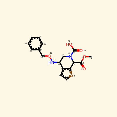 COC(=O)C1c2sccc2C(NOCc2ccccc2)CN1C(=O)O